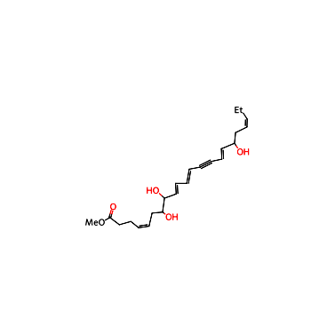 CC/C=C\CC(O)/C=C/C#C/C=C/C=C/C(O)C(O)C/C=C\CCC(=O)OC